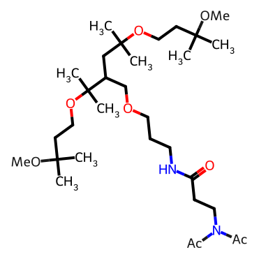 COC(C)(C)CCOC(C)(C)CC(COCCCNC(=O)CCN(C(C)=O)C(C)=O)C(C)(C)OCCC(C)(C)OC